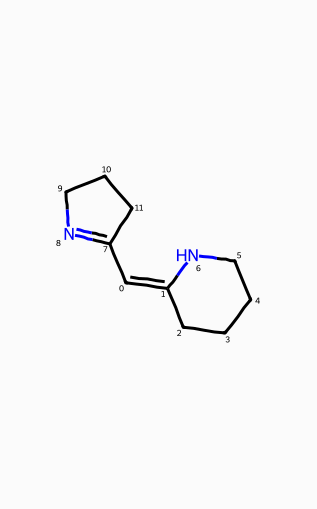 C(=C1CCCCN1)C1=NCCC1